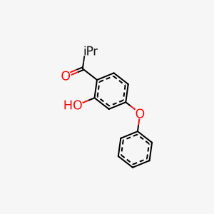 CC(C)C(=O)c1ccc(Oc2ccccc2)cc1O